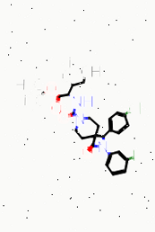 CC[C@H](C)[C@H](NC(=O)N1CCC2(CC1)C(=O)N(c1cccc(F)c1)C2c1ccc(Cl)cc1)C(=O)OC(C)C